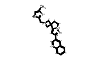 Cc1c[nH]c(CN2CC3(CCn4nc(-c5cnc6ccccc6c5)cc43)C2)n1